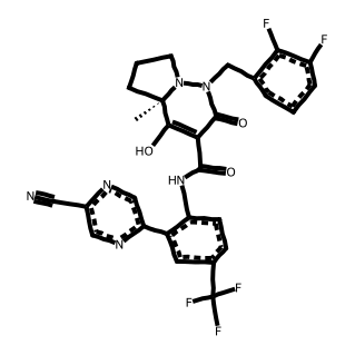 C[C@]12CCCN1N(Cc1cccc(F)c1F)C(=O)C(C(=O)Nc1ccc(C(F)(F)F)cc1-c1cnc(C#N)cn1)=C2O